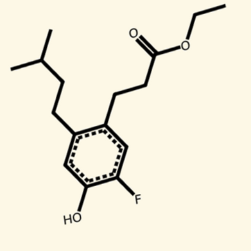 CCOC(=O)CCc1cc(F)c(O)cc1CCC(C)C